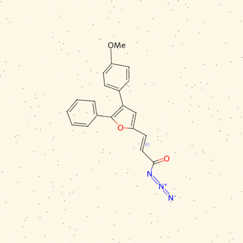 COc1ccc(-c2cc(/C=C/C(=O)N=[N+]=[N-])oc2-c2ccccc2)cc1